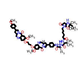 CCC(C)(CC)NC1CC(=O)N(CCCCCC(=O)N[C@H](C(=O)N[C@@H](C)C(=O)Nc2ccc(C3=CN4C(=O)c5cc(OC)c(OCCCOc6cc7c(cc6OC)C(=O)N6C=C(c8ccc(OC)cc8)CC6C=N7)cc5N=C[C@@H]4C3)cc2)C(C)C)C1=O